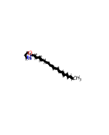 CCCCCCCCCCCCCCCCCCCC1=NCCCO1